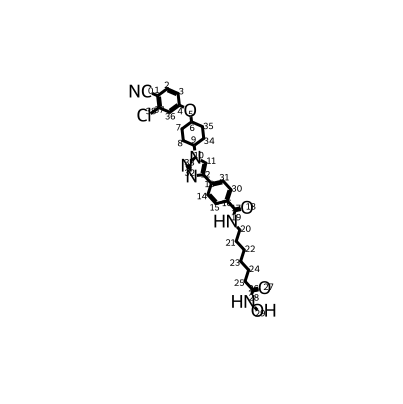 N#Cc1ccc(OC2CCC(n3cc(-c4ccc(C(=O)NCCCCCCC(=O)NO)cc4)nn3)CC2)cc1Cl